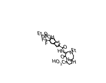 CCOP(=O)(O)C(F)(F)c1ccc2sc(C(=O)N[C@H]3CN(CC)CC[C@H]4CC[C@@H](C(=O)O)N4C3=O)cc2c1